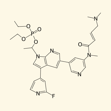 CCOP(=O)(OCC)OC(C)n1cc(-c2ccnc(F)c2)c2cc(-c3cncc(N(C)C(=O)/C=C/CN(C)C)c3)cnc21